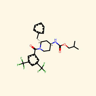 CC(C)COC(=O)N[C@H]1CCN(C(=O)c2cc(C(F)(F)F)cc(C(F)(F)F)c2)[C@H](Cc2ccccc2)C1